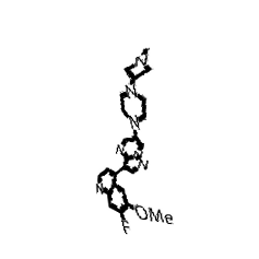 COc1cc2c(-c3cnn4cc(N5CCN(C6CN(C)C6)CC5)cnc34)ccnc2cc1F